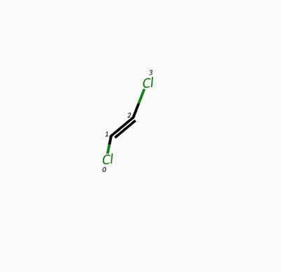 Cl/C=C/Cl